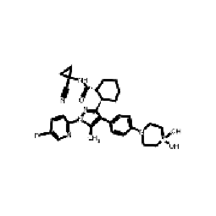 Cc1c(-c2ccc(N3CCS(O)(O)CC3)cc2)c([C@@H]2CCCC[C@H]2C(=O)NC2(C#N)CC2)nn1-c1ccc(F)cn1